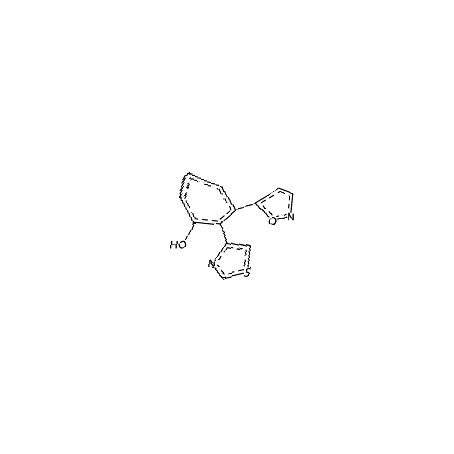 Oc1cccc(-c2ccno2)c1-c1cscn1